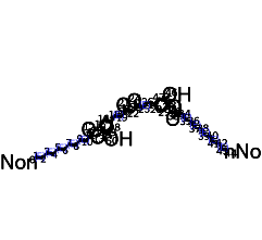 CCCCCCCCC/C=C/C=C/C=C/C=C/C=C/C(=O)Oc1ccc(/C=C/C(=O)CC(=O)/C=C/c2ccc(OC(=O)/C=C/C=C/C=C/C=C/C=C/CCCCCCCCC)c(O)c2)cc1O